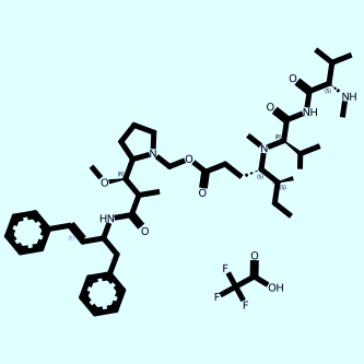 CC[C@H](C)[C@H](CCC(=O)OCN1CCCC1[C@H](OC)C(C)C(=O)NC(/C=C/c1ccccc1)Cc1ccccc1)N(C)[C@@H](C(=O)NC(=O)[C@@H](NC)C(C)C)C(C)C.O=C(O)C(F)(F)F